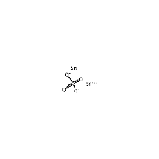 O=S(=O)([O-])[O-].[Sn+2].[Sn]